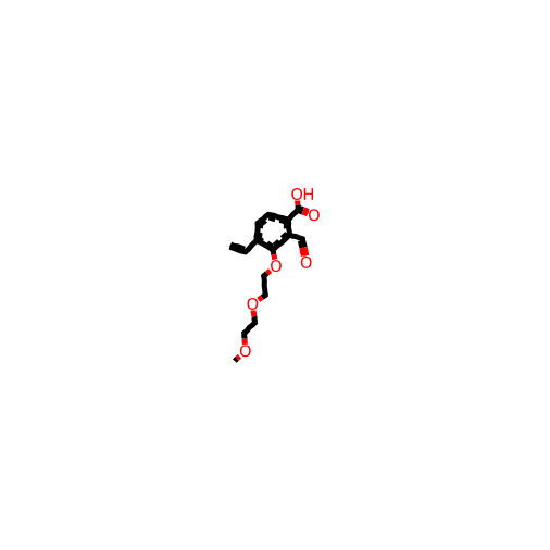 C=Cc1ccc(C(=O)O)c(C=O)c1OCCOCCOC